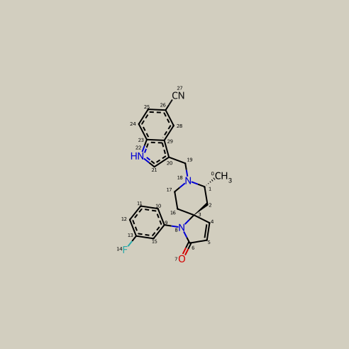 C[C@@H]1C[C@]2(C=CC(=O)N2c2cccc(F)c2)CCN1Cc1c[nH]c2ccc(C#N)cc12